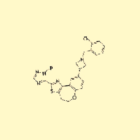 CC(C)n1ncnc1-c1nc2c(s1)CCOc1ccc(C3CN(Cc4ccccc4Cl)C3)cc1-2